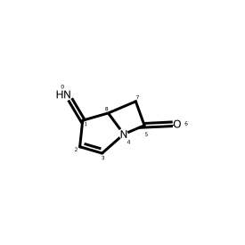 N=C1C=CN2C(=O)CC12